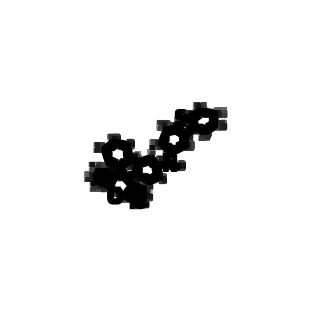 CN(c1ccc2c(c1)-c1ccccc1C21c2ccccc2Oc2ccccc21)c1ccc2sc3ccccc3c2c1